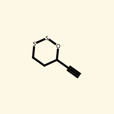 C#CC1CCSSO1